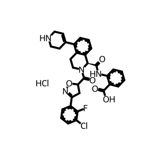 Cl.O=C(O)c1ccccc1NC(=O)[C@@H]1c2cccc(C3=CCNCC3)c2CCN1C(=O)C1CC(c2cccc(Cl)c2F)=NO1